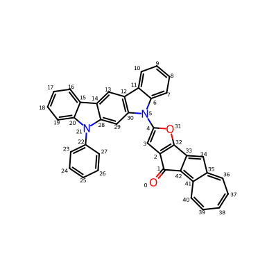 O=C1c2cc(-n3c4ccccc4c4cc5c6ccccc6n(-c6ccccc6)c5cc43)oc2-c2cc3cccccc-3c21